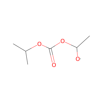 CC(C)OC(=O)OC(C)[O]